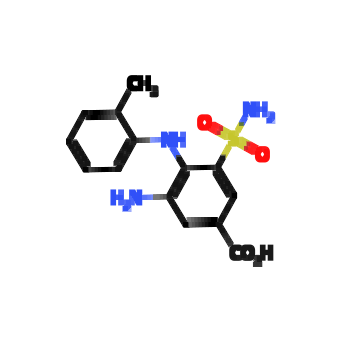 Cc1ccccc1Nc1c(N)cc(C(=O)O)cc1S(N)(=O)=O